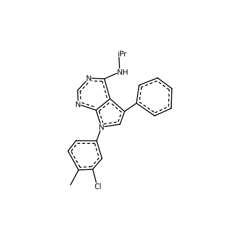 Cc1ccc(-n2cc(-c3ccccc3)c3c(NC(C)C)ncnc32)cc1Cl